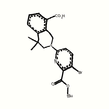 CC(C)(C)OC(=O)c1nc(N2Cc3c(C(=O)O)cccc3C(C)(C)C2)ccc1Br